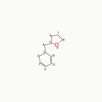 C1=CCC(CC2CCCO2)C=C1